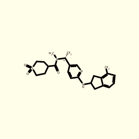 CN(C(=O)C1CCS(=O)(=O)CC1)[C@@H](c1ccc(NC2Cc3cccc(C(F)(F)F)c3C2)nc1)C(F)(F)F